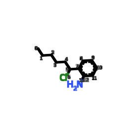 CCCCCC(Cl)c1cc[c]cc1N